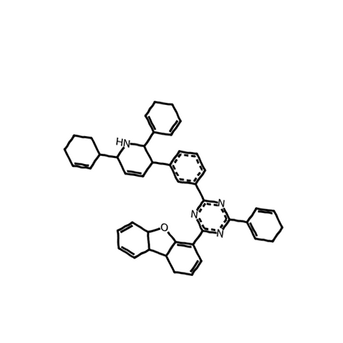 C1=CC2OC3=C(c4nc(C5=CCCC=C5)nc(-c5cccc(C6C=CC(C7C=CCCC7)NC6C6=CCCC=C6)c5)n4)C=CCC3C2C=C1